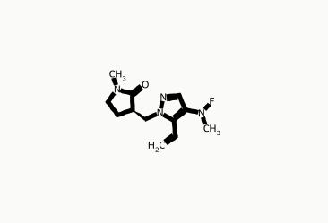 C=Cc1c(N(C)F)cnn1C[C@H]1CCN(C)C1=O